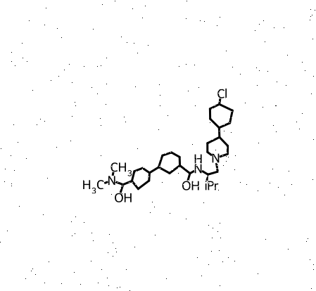 CC(C)[C@H](CN1CCC(C2CCC(Cl)CC2)CC1)NC(O)C1CCCC(C2CCC(C(O)N(C)C)CC2)C1